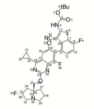 CC(C)(C)OC(=O)Nc1sc2c(F)ccc(-c3c(Cl)cc4c(C5CC5)nc(OC[C@@]56CCCN5C[C@H](F)C6)nc4c3F)c2c1C#N